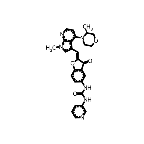 C[C@H]1COCCN1c1ccnc2c1c(/C=C1\Oc3ccc(NC(=O)Nc4cccnc4)cc3C1=O)cn2C